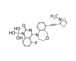 CN1CC2CC1(C#Cc1cccc3c1COCCN3c1nc(=O)n(C(O)(O)O)c3cccc(F)c13)C2